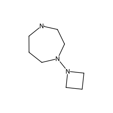 C1CN(N2CCC[N]CC2)C1